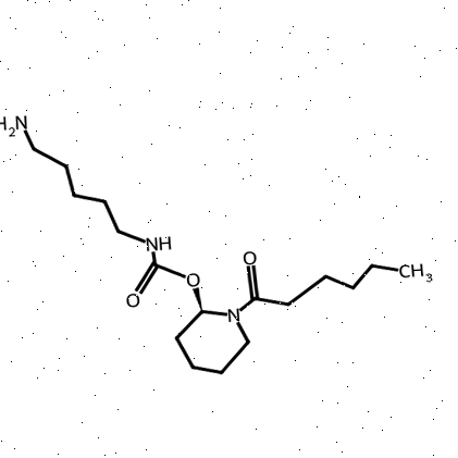 CCCCCC(=O)N1CCCC[C@H]1OC(=O)NCCCCCN